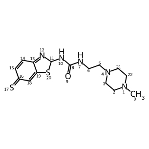 CN1CCN(CCNC(=O)NC2N=C3C=CC(=S)C=C3S2)CC1